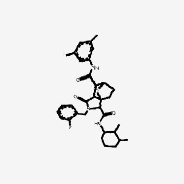 Cc1cc(C)cc(NC(=O)C2C3CCC4(O3)C2C(=O)N(Cc2ccccc2F)C4C(=O)NC2CCCC(C)C2C)c1